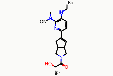 CC(C)[C@H](O)C(=O)N1CC2C=C(c3ccc(NCC(C)(C)C)c(N(C)N=O)n3)CC2C1